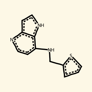 c1csc(CNc2ccnc3cc[nH]c23)c1